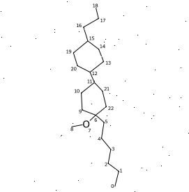 CCCCCCC1(OC)CCC(C2CCC(CCC)CC2)CC1